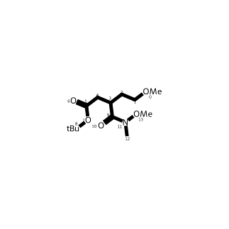 COCCC(CC(=O)OC(C)(C)C)C(=O)N(C)OC